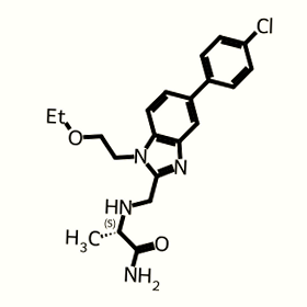 CCOCCn1c(CN[C@@H](C)C(N)=O)nc2cc(-c3ccc(Cl)cc3)ccc21